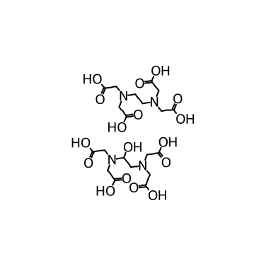 O=C(O)CN(CC(=O)O)CC(O)N(CC(=O)O)CC(=O)O.O=C(O)CN(CCN(CC(=O)O)CC(=O)O)CC(=O)O